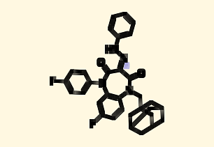 O=c1/c(=N/Nc2ccccc2)c(=O)n(-c2ccc(F)cc2)c2cc(F)ccc2n1CC12CC3CC(CC(C3)C1)C2